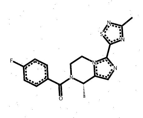 Cc1nsc(-c2ncc3n2CCN(C(=O)c2ccc(F)cc2)[C@H]3C)n1